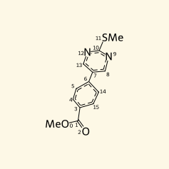 COC(=O)c1ccc(-c2cnc(SC)nc2)cc1